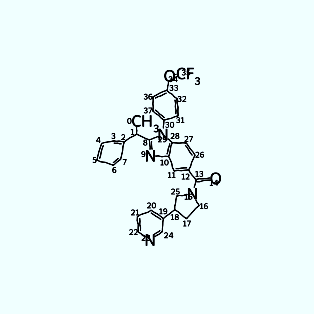 CC(c1ccccc1)c1nc2cc(C(=O)N3CCC(c4cccnc4)C3)ccc2n1-c1ccc(OC(F)(F)F)cc1